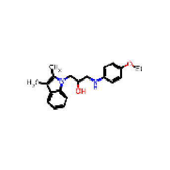 CCOc1ccc(NCC(O)Cn2c(C)c(C)c3ccccc32)cc1